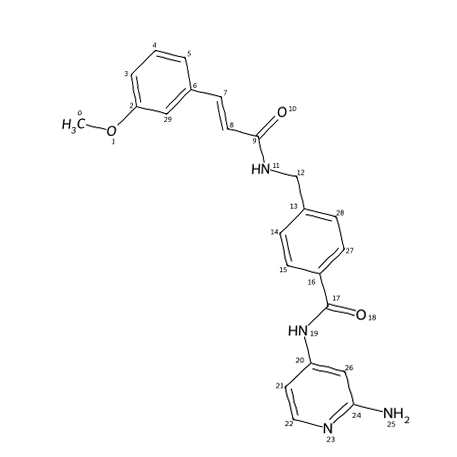 COc1cccc(C=CC(=O)NCc2ccc(C(=O)Nc3ccnc(N)c3)cc2)c1